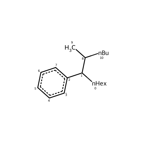 CCCCCCC(c1[c]cccc1)C(C)CCCC